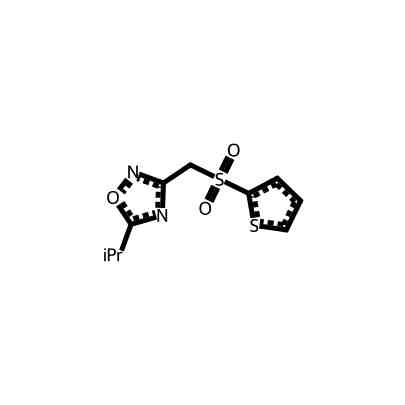 CC(C)c1nc(CS(=O)(=O)c2cccs2)no1